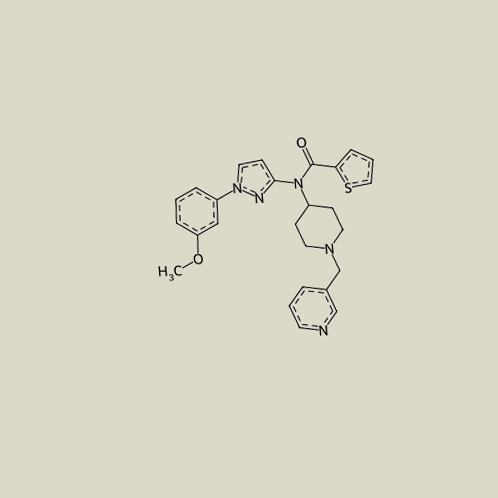 COc1cccc(-n2ccc(N(C(=O)c3cccs3)C3CCN(Cc4cccnc4)CC3)n2)c1